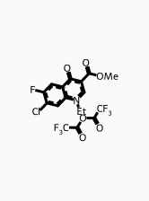 CCn1cc(C(=O)OC)c(=O)c2cc(F)c(Cl)cc21.O=C(OC(=O)C(F)(F)F)C(F)(F)F